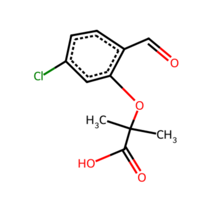 CC(C)(Oc1cc(Cl)ccc1C=O)C(=O)O